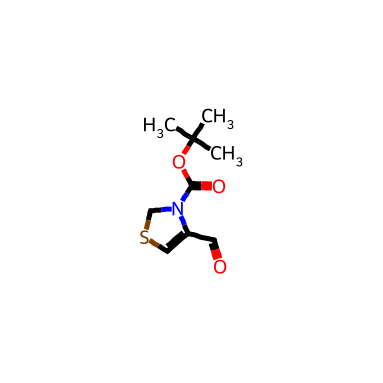 CC(C)(C)OC(=O)N1CSC=C1C=O